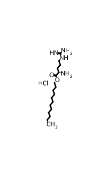 CCCCCCCCCCCCOC(=O)[C@@H](N)CCCNC(=N)N.Cl